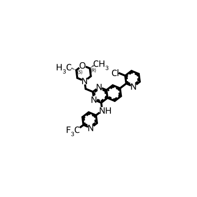 C[C@@H]1CN(Cc2nc(Nc3ccc(C(F)(F)F)nc3)c3ccc(-c4ncccc4Cl)cc3n2)C[C@H](C)O1